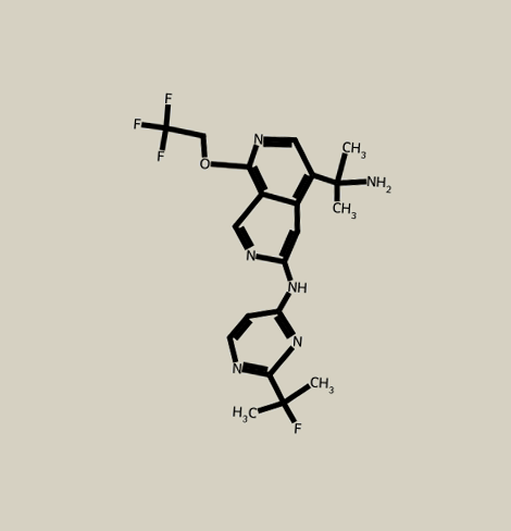 CC(C)(N)c1cnc(OCC(F)(F)F)c2cnc(Nc3ccnc(C(C)(C)F)n3)cc12